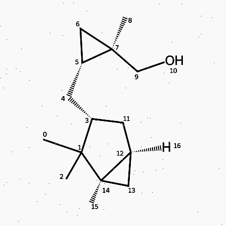 CC1(C)[C@H](C[C@@H]2C[C@@]2(C)CO)C[C@H]2C[C@]21C